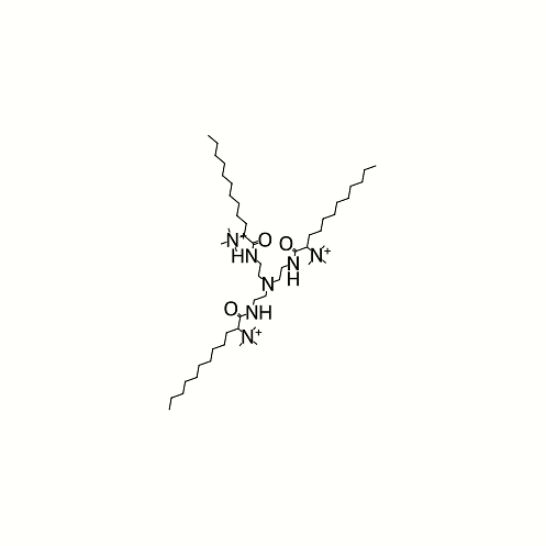 CCCCCCCCCCC(C(=O)NCCN(CCNC(=O)C(CCCCCCCCCC)[N+](C)(C)C)CCNC(=O)C(CCCCCCCCCC)[N+](C)(C)C)[N+](C)(C)C